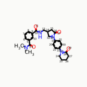 CN(C)C(=O)c1cccc(C(=O)NCC2CC(=O)N(c3ccc(N4CCCCC4=O)cc3)C2)c1